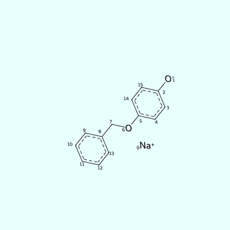 [Na+].[O-]c1ccc(OCc2ccccc2)cc1